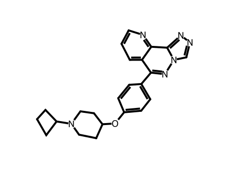 c1cnc2c(c1)c(-c1ccc(OC3CCN(C4CCC4)CC3)cc1)nn1cnnc21